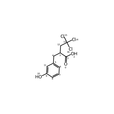 O=C(O)C(Cc1cccc(O)c1)CC(Cl)(Cl)Cl